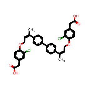 C/C(=C/COc1ccc(CC(=O)O)cc1Cl)c1ccc(-c2ccc(/C(C)=C\COc3ccc(CC(=O)O)cc3Cl)cc2)cc1